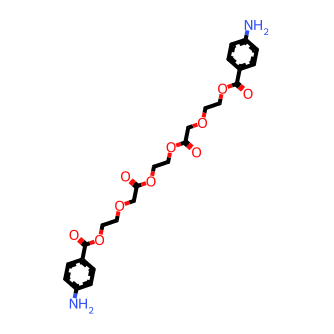 Nc1ccc(C(=O)OCCOCC(=O)OCCOC(=O)COCCOC(=O)c2ccc(N)cc2)cc1